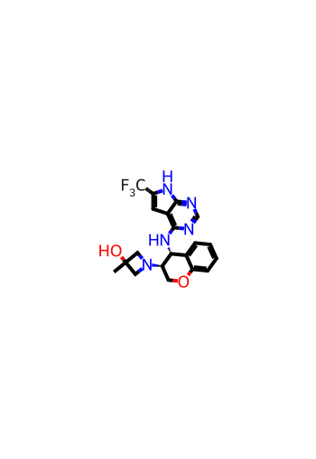 CC1(O)CN([C@@H]2COc3ccccc3[C@H]2Nc2ncnc3[nH]c(C(F)(F)F)cc23)C1